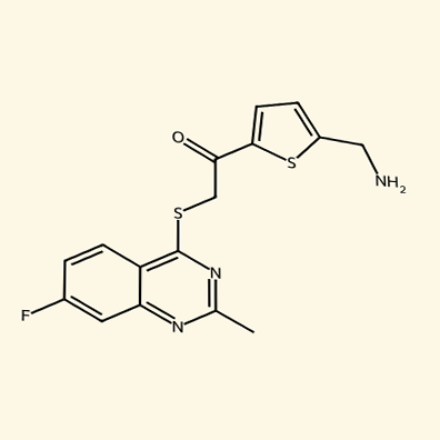 Cc1nc(SCC(=O)c2ccc(CN)s2)c2ccc(F)cc2n1